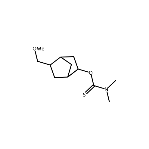 COCC1CC2CC1CC2OC(=S)N(C)C